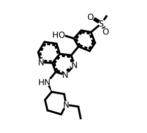 CCN1CCC[C@@H](Nc2nnc(-c3ccc(S(C)(=O)=O)cc3O)c3cccnc23)C1